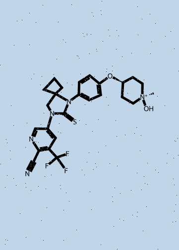 C[N@+]1(O)CC[C@@H](Oc2ccc(N3C(=S)N(c4cnc(C#N)c(C(F)(F)F)c4)CC34CCC4)cc2)CC1